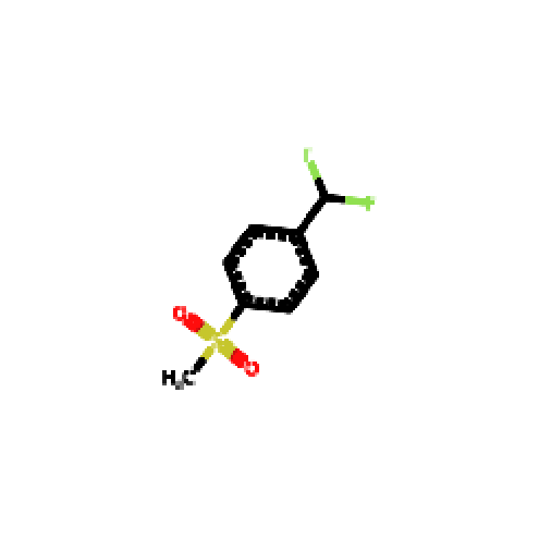 CS(=O)(=O)c1ccc(C(F)F)cc1